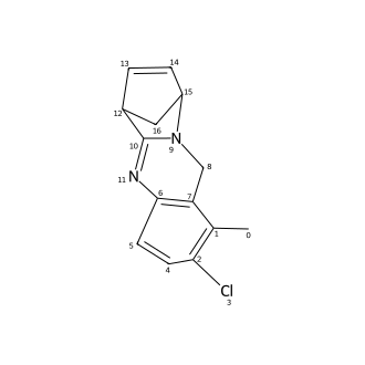 Cc1c(Cl)ccc2c1CN1C(=N2)C2C=CC1C2